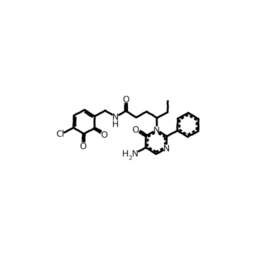 CCC(CCC(=O)NCC1=CC=C(Cl)C(=O)C1=O)n1c(-c2ccccc2)ncc(N)c1=O